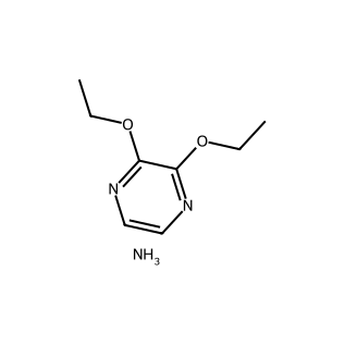 CCOc1nccnc1OCC.N